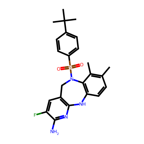 Cc1ccc2c(c1C)N(S(=O)(=O)c1ccc(C(C)(C)C)cc1)Cc1cc(F)c(N)nc1N2